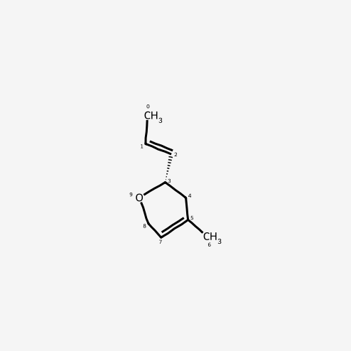 C/C=C/[C@@H]1CC(C)=CCO1